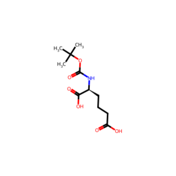 CC(C)(C)OC(=O)N[C@@H](CCCC(=O)O)C(=O)O